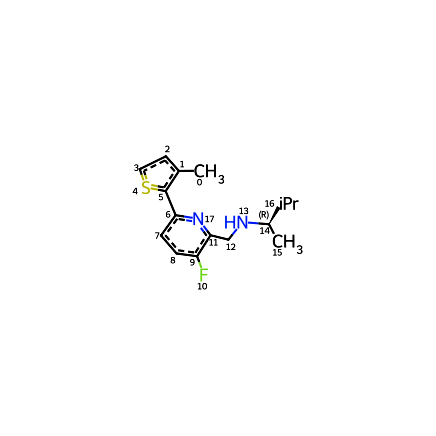 Cc1ccsc1-c1ccc(F)c(CN[C@H](C)C(C)C)n1